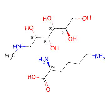 CNC[C@H](O)[C@@H](O)[C@H](O)[C@H](O)CO.NCCCC[C@H](N)C(=O)O